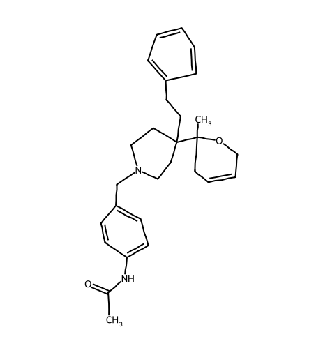 CC(=O)Nc1ccc(CN2CCC(CCc3ccccc3)(C3(C)CC=CCO3)CC2)cc1